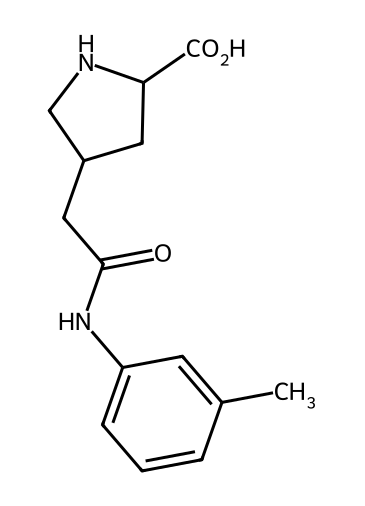 Cc1cccc(NC(=O)CC2CNC(C(=O)O)C2)c1